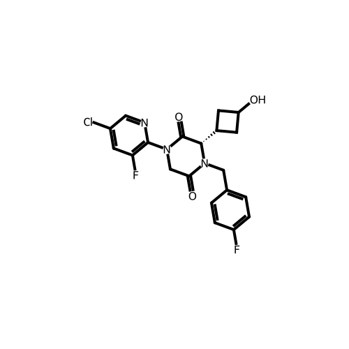 O=C1[C@H](C2CC(O)C2)N(Cc2ccc(F)cc2)C(=O)CN1c1ncc(Cl)cc1F